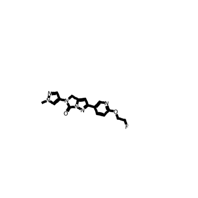 Cn1cc(N2Cc3cc(-c4ccc(OCCF)nc4)nn3C2=O)cn1